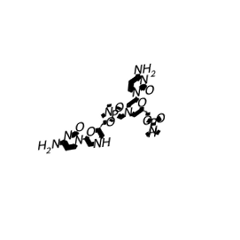 CN(C)[PH](=O)OC[C@@H]1CN(CP(=O)(OC[C@@H]2CNC[C@H](n3ccc(N)nc3=O)O2)N(C)C)C[C@H](n2ccc(N)nc2=O)O1